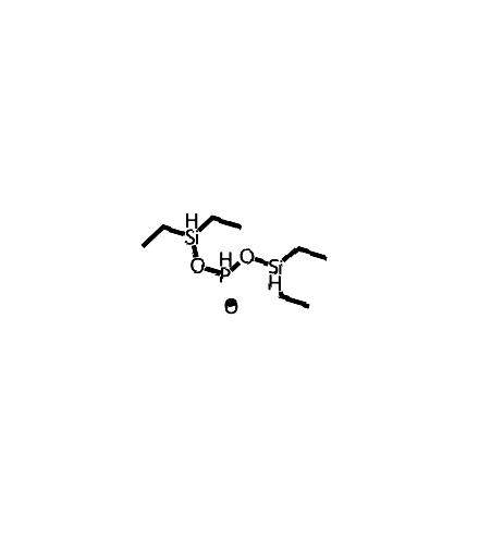 CC[SiH](CC)O[PH](=O)O[SiH](CC)CC